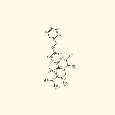 CC(C)C[C@H](NC(=O)OCc1ccccc1)C(=O)NC(CN(C)C(=O)N(C)C)C(O)CF